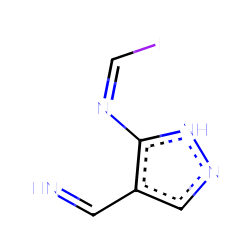 N=Cc1cn[nH]c1/N=C\I